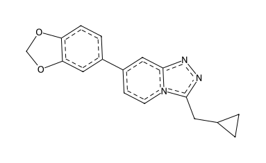 c1cc2c(cc1-c1ccn3c(CC4CC4)nnc3c1)OCO2